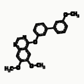 COc1cccc(-c2cccc(Oc3ncnc4cc(OC)c(OC)cc34)c2)c1